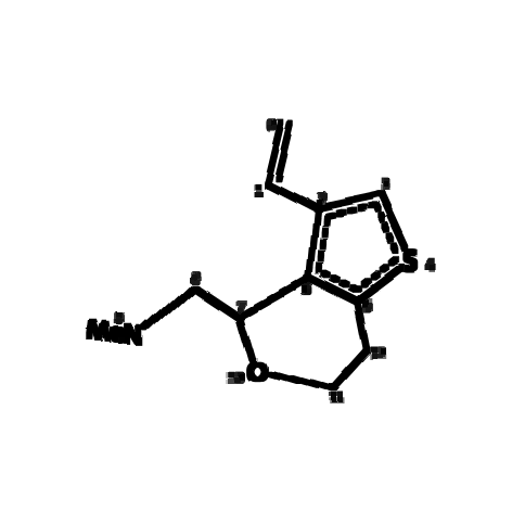 C=Cc1csc2c1C(CNC)OCC2